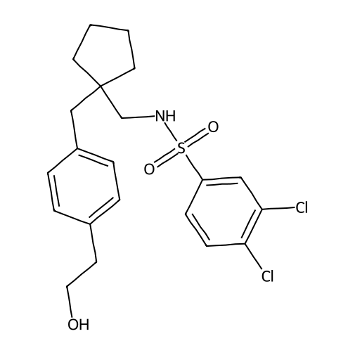 O=S(=O)(NCC1(Cc2ccc(CCO)cc2)CCCC1)c1ccc(Cl)c(Cl)c1